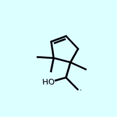 [CH2]C(O)C1(C)CC=CC1(C)C